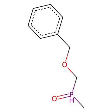 C[PH](=O)COCc1ccccc1